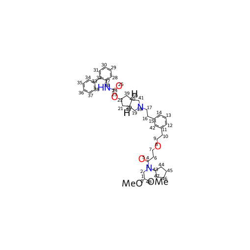 COC(CN(C(=O)CCOCCc1cccc(CCN2C[C@H]3C[C@H](OC(=O)Nc4ccccc4-c4ccccc4)C[C@H]3C2)c1)C1CCCC1)OC